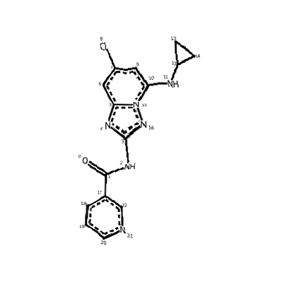 O=C(Nc1nc2cc(Cl)cc(NC3CC3)n2n1)c1cccnc1